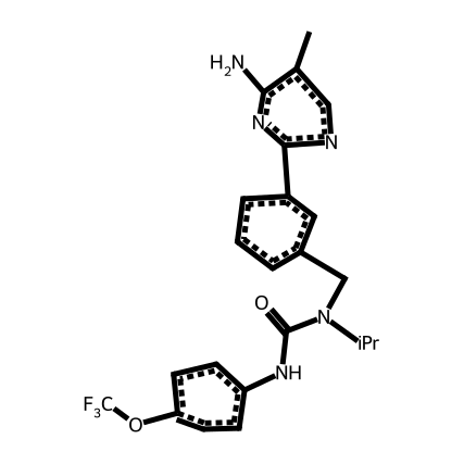 Cc1cnc(-c2cccc(CN(C(=O)Nc3ccc(OC(F)(F)F)cc3)C(C)C)c2)nc1N